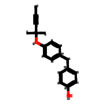 CC#CC(C)(C)Oc1ccc(Cc2ccc(O)cc2)cc1